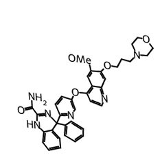 COc1cc2c(Oc3ccc(C4(c5ccccc5)N=C(C(N)=O)Nc5ccccc54)nc3)ccnc2cc1OCCCN1CCOCC1